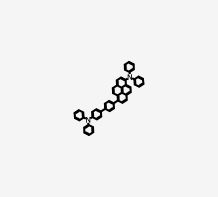 c1ccc(N(c2ccccc2)c2ccc(-c3ccc(-c4ccc5ccc6c(N(c7ccccc7)c7ccccc7)ccc7ccc4c5c76)cc3)cc2)cc1